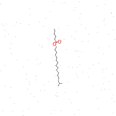 CCCCCC(=O)OCCCCCCCCCCCCCCC(C)C